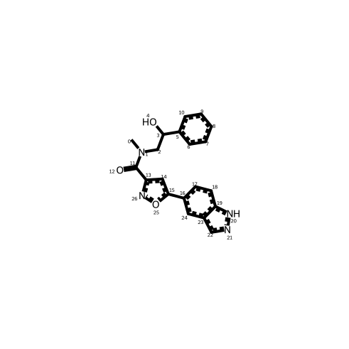 CN(CC(O)c1ccccc1)C(=O)c1cc(-c2ccc3[nH]ncc3c2)on1